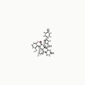 CCc1cccc(CC)c1-n1c(CC(C)C)c(C(=O)N2CCNCC2C(=O)O)cc(-c2nc(-c3ccc(Cl)cc3)cs2)c1=O